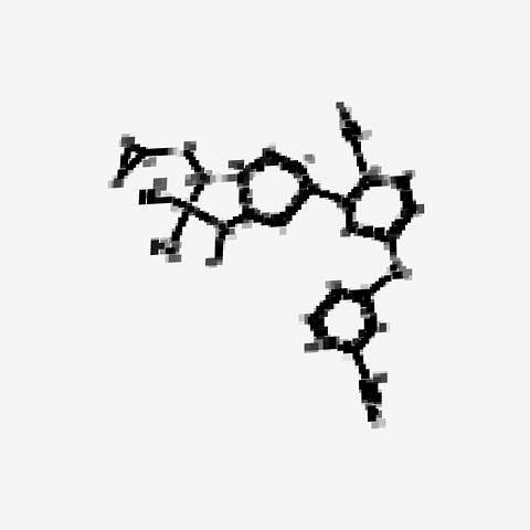 CN1c2cc(-c3cc(Oc4ccnc(C#N)c4)ccc3C#N)ccc2N(CC2CC2)S1(O)O